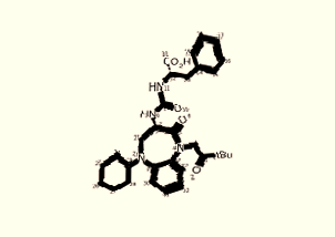 CC(C)(C)C(=O)CN1C(=O)[C@H](NC(=O)N[C@@H](Cc2ccccc2)C(=O)O)CN(C2CCCCC2)c2ccccc21